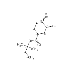 CCC(C)(C)OC(=O)N1CC[C@@H](O)[C@@H](F)C1